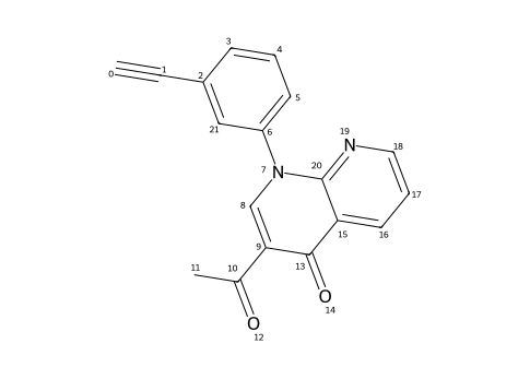 C#Cc1cccc(-n2cc(C(C)=O)c(=O)c3cccnc32)c1